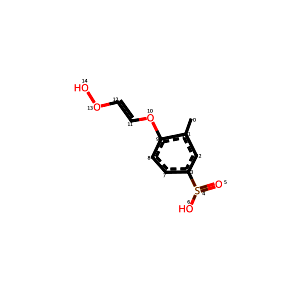 Cc1cc(S(=O)O)ccc1O/C=C/OO